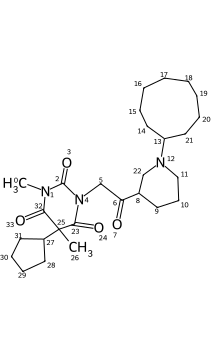 CN1C(=O)N(CC(=O)C2CCCN(C3CCCCCCCC3)C2)C(=O)C(C)(C2CCCC2)C1=O